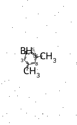 B.Cc1cccc(C)c1